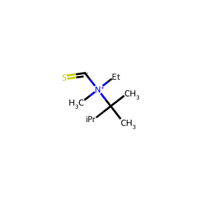 CC[N+](C)([C]=S)C(C)(C)C(C)C